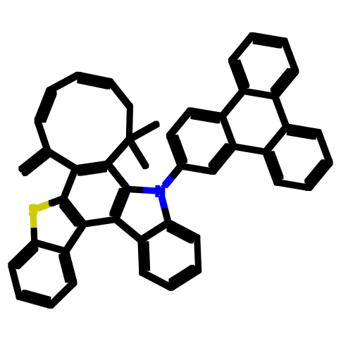 C=C1/C=C\C=C/CC(C)(C)c2c1c1sc3ccccc3c1c1c3ccccc3n(-c3ccc4c5ccccc5c5ccccc5c4c3)c21